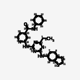 CCc1nc(Nc2ccc3ncsc3c2)nc(Nc2cc(C(=O)Nc3ccccc3)ccn2)n1